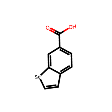 O=C(O)c1ccc2cc[se]c2c1